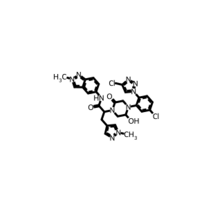 Cn1cc(CC(C(=O)Nc2ccc3nn(C)cc3c2)N2CC(O)N(c3cc(Cl)ccc3-n3cc(Cl)nn3)CC2=O)cn1